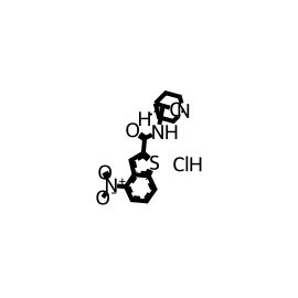 Cl.O=C(N[C@@H]1CN2CCC1CC2)c1cc2c([N+](=O)[O-])cccc2s1